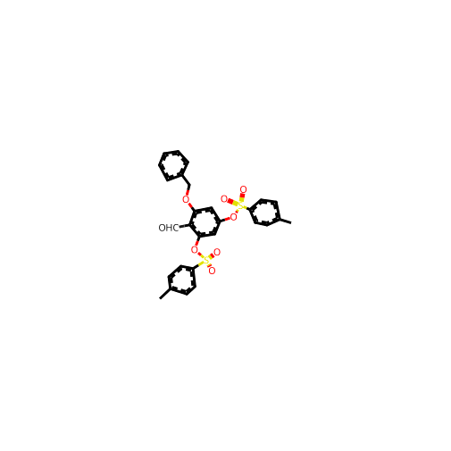 Cc1ccc(S(=O)(=O)Oc2cc(OCc3ccccc3)c(C=O)c(OS(=O)(=O)c3ccc(C)cc3)c2)cc1